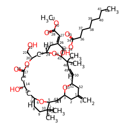 C=C1C[C@H]2C[C@@H]3O[C@@H](CCC3(C)C)C[C@@H](O)CC(=O)O[C@@H](CO)C[C@@H]3C/C(=C\C(=O)OC)[C@H](OC(=O)CCCCCCC)[C@@](O)(O3)C(C)(C)/C=C/[C@@H](C1)O2